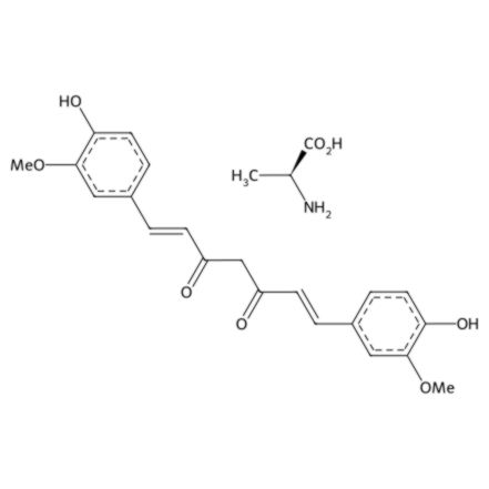 COc1cc(C=CC(=O)CC(=O)C=Cc2ccc(O)c(OC)c2)ccc1O.C[C@H](N)C(=O)O